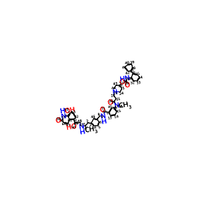 CC(Cc1cccc(CNC(=O)c2cccc(N(C)C(=O)CCN3CCC(OC(=O)Nc4ccccc4-c4ccccc4)CC3)c2)c1)NC[C@H](O)c1ccc(O)c2[nH]c(=O)ccc12